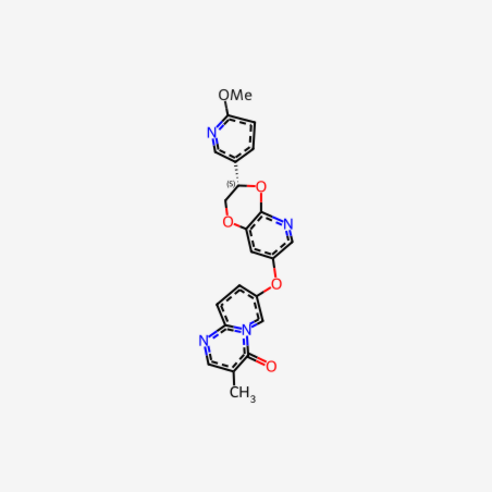 COc1ccc([C@H]2COc3cc(Oc4ccc5ncc(C)c(=O)n5c4)cnc3O2)cn1